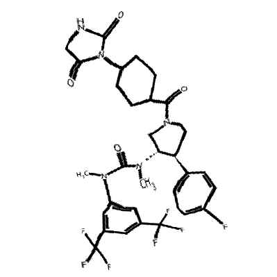 CN(C(=O)N(C)[C@@H]1CN(C(=O)C2CCC(N3C(=O)CNC3=O)CC2)C[C@H]1c1ccc(F)cc1)c1cc(C(F)(F)F)cc(C(F)(F)F)c1